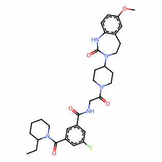 CCC1CCCCN1C(=O)c1cc(F)cc(C(=O)NCC(=O)N2CCC(N3CCc4cc(OC)ccc4NC3=O)CC2)c1